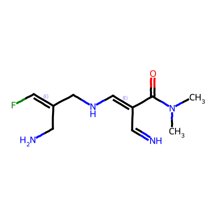 CN(C)C(=O)/C(C=N)=C/NC/C(=C/F)CN